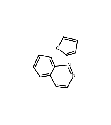 c1ccc2nnccc2c1.c1ccoc1